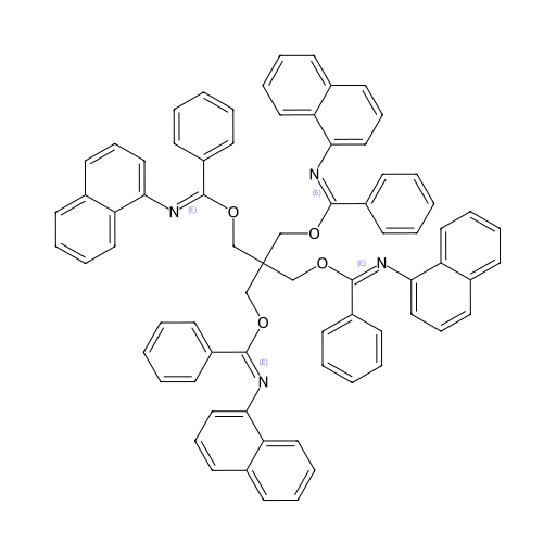 c1ccc(/C(=N\c2cccc3ccccc23)OCC(CO/C(=N/c2cccc3ccccc23)c2ccccc2)(CO/C(=N/c2cccc3ccccc23)c2ccccc2)CO/C(=N/c2cccc3ccccc23)c2ccccc2)cc1